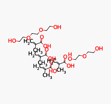 C=C(C)C(=O)O.C=C(C)C(=O)O.C=C(C)C(=O)O.C=C(C)C(=O)O.OCCOCCO.OCCOCCOCCO